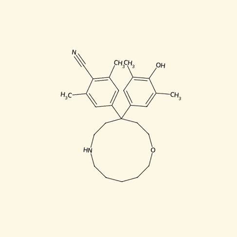 Cc1cc(C2(c3cc(C)c(C#N)c(C)c3)CCNCCCCCOCC2)cc(C)c1O